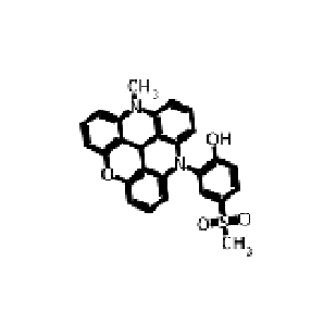 CN1c2cccc3c2C2c4c(cccc4N(c4cc(S(C)(=O)=O)ccc4O)c4cccc1c42)O3